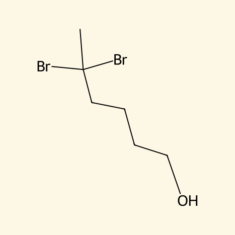 CC(Br)(Br)CCCCO